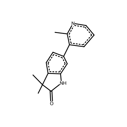 Cc1ncccc1-c1ccc2c(c1)NC(=O)C2(C)C